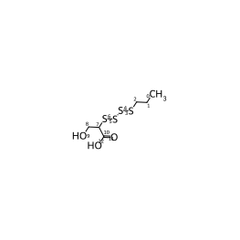 CCCSSSSC(CO)C(=O)O